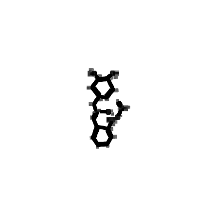 C=[NH+][O-].[O-][N+](=Cc1ccccc1O)Cc1ccc(O)c(O)c1